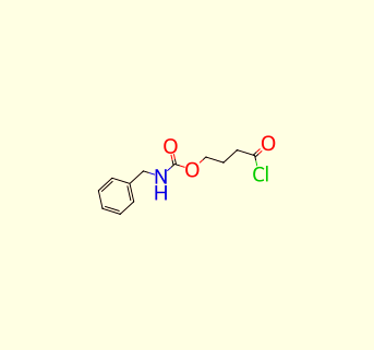 O=C(Cl)CCCOC(=O)NCc1ccccc1